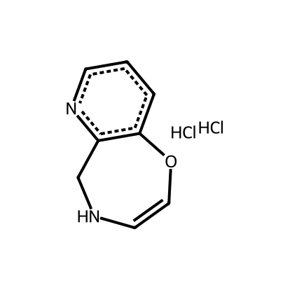 C1=COc2cccnc2CN1.Cl.Cl